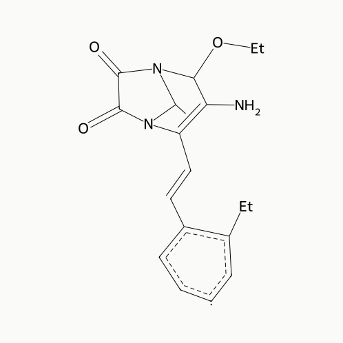 CCOC1C(N)=C(C=Cc2cc[c]cc2CC)N2C(=O)C(=O)N1C2C